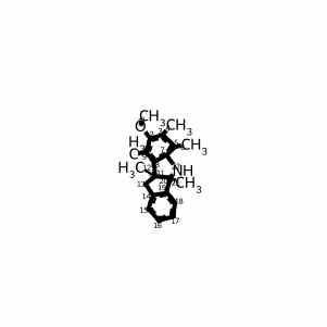 COc1c(C)c(C)c2c(c1C)[C@@]1(C)Cc3ccccc3[C@@]1(C)N2